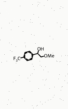 COCC(O)c1ccc(C(F)(F)F)cc1